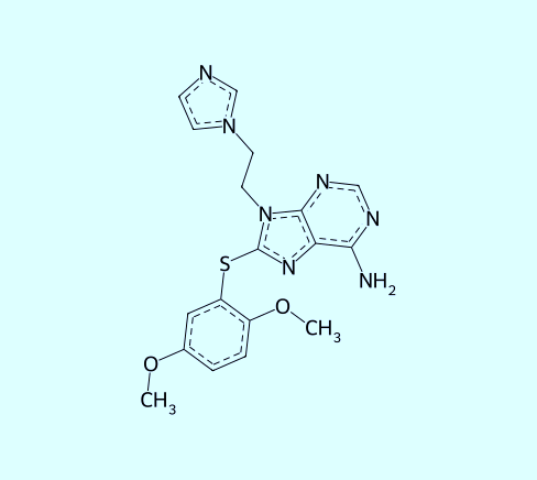 COc1ccc(OC)c(Sc2nc3c(N)ncnc3n2CCn2ccnc2)c1